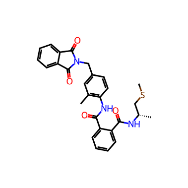 CSC[C@H](C)NC(=O)c1ccccc1C(=O)Nc1ccc(CN2C(=O)c3ccccc3C2=O)cc1C